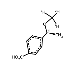 [2H]C([2H])([2H])O[C@@H](C)c1ccc(C(=O)O)cc1